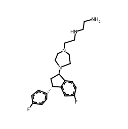 NCCNCCN1CCN([C@@H]2C[C@@H](c3ccc(F)cc3)c3cc(F)ccc32)CC1